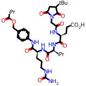 CC(C)C(=O)OCc1ccc(NC(=O)[C@H](CCCNC(N)=O)NC(=O)[C@@H](NC(=O)[C@H](CCC(=O)O)NC(=O)CN2C(=O)CC(C(C)(C)C)C2=O)C(C)C)cc1